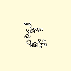 CCOC(=O)C(CCSC)NC(=O)c1cnc(-c2cccc(-c3cc(C(=O)NC(CC)CC)n[nH]3)c2)o1